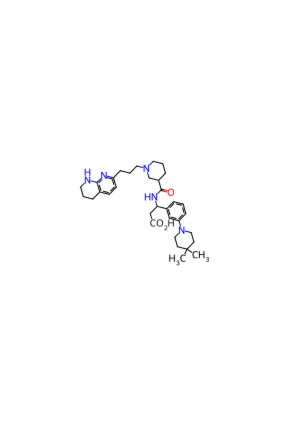 CC1(C)CCN(c2cccc(C(CC(=O)O)NC(=O)C3CCCN(CCCc4ccc5c(n4)NCCC5)C3)c2)CC1